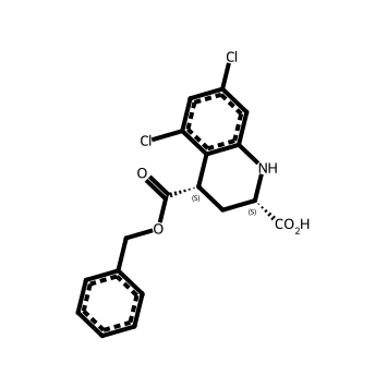 O=C(O)[C@@H]1C[C@H](C(=O)OCc2ccccc2)c2c(Cl)cc(Cl)cc2N1